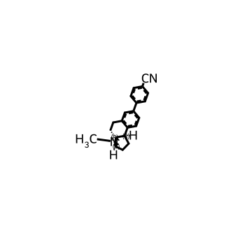 CN1C[C@H]2CC[C@@H]3c4ccc(-c5ccc(C#N)cc5)cc4CC[C@]23C1